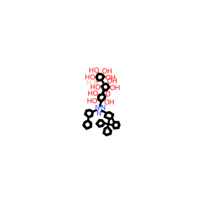 Bc1c(O)c(O)c(O)c(O)c1-c1c(O)c(O)c2oc3c(O)c(-c4nc(-c5cccc(-c6ccccc6)c5)nc(-c5ccc6c(c5)C(c5ccccc5)(c5ccccc5)c5ccccc5-6)n4)c(O)c(O)c3c2c1O